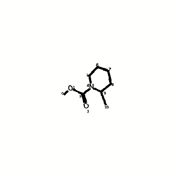 COC(=O)N1CCCCC1C